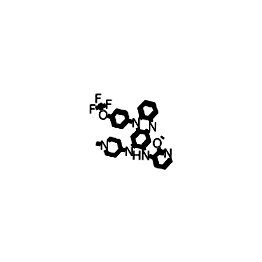 COc1ncccc1Nc1cc2nc3ccccc3n(-c3ccc(OC(F)(F)F)cc3)c-2c/c1=N\C1CCN(C)CC1